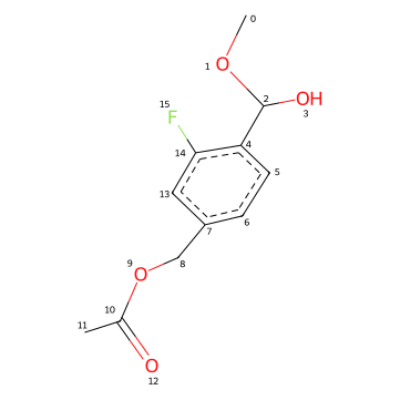 COC(O)c1ccc(COC(C)=O)cc1F